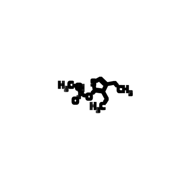 CCc1csc(O[PH](=O)OC)c1CC